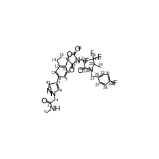 CNC(=O)Cn1cc(-c2ccc3c(c2)CC[C@@]32OC(=O)N(CC(=O)N(Cc3ccc(F)cc3)C(C)C(F)(F)F)C2=O)cn1